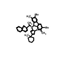 C[C](c1ccc2ccccc2c1)=[Zr]([C]1=CC(C2(C)CCCCC2)=CC1C)[CH]1c2cc(C)c(C(C)(C)C)cc2-c2cc(C(C)(C)C)c(C)cc21